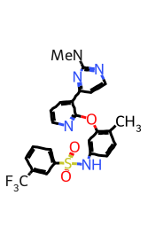 CNc1nccc(-c2cccnc2Oc2cc(NS(=O)(=O)c3cccc(C(F)(F)F)c3)ccc2C)n1